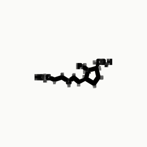 CC(C)N1[C@H](CCOCCC(=O)O)CC[C@H]1C(=O)O